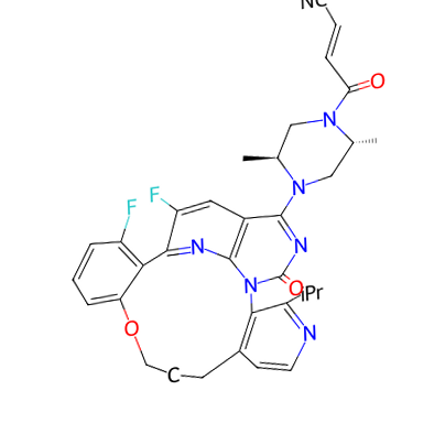 CC(C)c1nccc2c1-n1c(=O)nc(N3C[C@@H](C)N(C(=O)/C=C/C#N)C[C@@H]3C)c3cc(F)c(nc31)-c1c(F)cccc1OCCC2